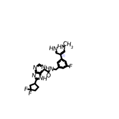 CN/C=C(\C=N)c1cc(F)cc(CNC(=O)c2ncnc3nc(C4CCC(F)(F)C4)[nH]c23)c1